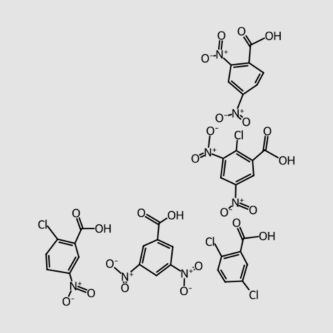 O=C(O)c1cc(Cl)ccc1Cl.O=C(O)c1cc([N+](=O)[O-])cc([N+](=O)[O-])c1.O=C(O)c1cc([N+](=O)[O-])cc([N+](=O)[O-])c1Cl.O=C(O)c1cc([N+](=O)[O-])ccc1Cl.O=C(O)c1ccc([N+](=O)[O-])cc1[N+](=O)[O-]